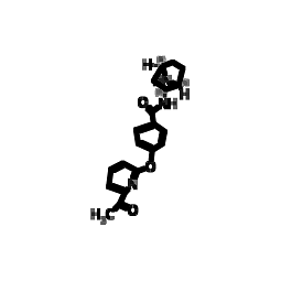 CC(=O)c1cccc(Oc2ccc(C(=O)N[C@@H]3C[C@H]4CC[C@@H]3N4)cc2)n1